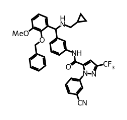 COc1cccc(C(NCC2CC2)c2cccc(NC(=O)c3cc(C(F)(F)F)nn3-c3cccc(C#N)c3)c2)c1OCc1ccccc1